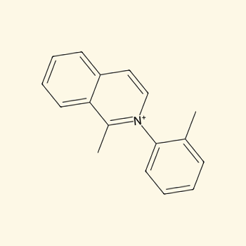 Cc1ccccc1-[n+]1ccc2ccccc2c1C